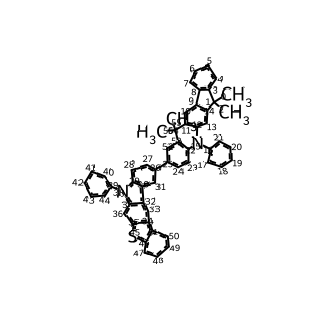 CC1(C)c2ccccc2-c2cc3c(cc21)N(c1ccccc1)c1ccc(-c2ccc4c(c2)c2cc5c(cc2n4-c2ccccc2)sc2ccccc25)cc1C3(C)C